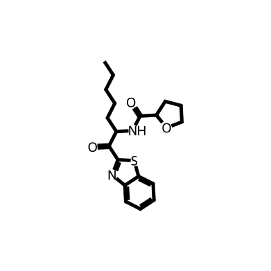 CCCCCC(NC(=O)C1CCCO1)C(=O)c1nc2ccccc2s1